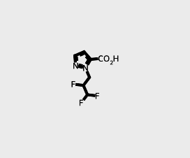 O=C(O)c1ccnn1CC(F)C(F)F